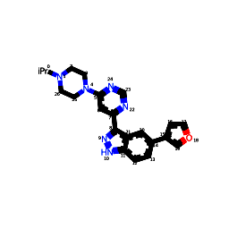 CC(C)N1CCN(c2cc(-c3n[nH]c4ccc(-c5ccoc5)cc34)ncn2)CC1